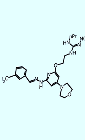 [C-]#[N+]/N=C(\NCCC)NCCOc1cc(N2CCOCC2)cc(N/N=C/c2cccc(C)c2)n1